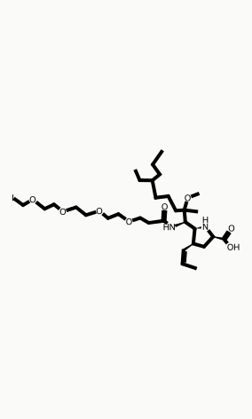 C/C=C\[C@@H]1C[C@H](C(=O)O)N[C@H]1[C@@H](NC(=O)CCOCCOCCOCCOCI)C(C)(CCCC(CC)CCC)OC